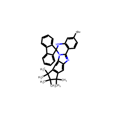 CC(C)(C)c1ccc2c(c1)NC1(c3ccccc3-c3ccccc31)n1c-2nc2cc3c(cc21)C(C)(C)C(C)(C)C3(C)C